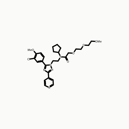 COCCOCCOCC(=O)N(CCn1nc(-c2ccncc2)nc1-c1ccc(OC)c(Cl)c1)C1CCCC1